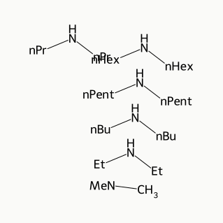 CCCCCCNCCCCCC.CCCCCNCCCCC.CCCCNCCCC.CCCNCCC.CCNCC.CNC